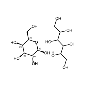 OCC(O)C(O)C(O)C(O)CO.OC[C@H]1O[C@@H](O)[C@H](O)[C@@H](O)[C@H]1O